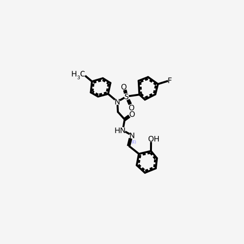 Cc1ccc(N(CC(=O)N/N=C/c2ccccc2O)S(=O)(=O)c2ccc(F)cc2)cc1